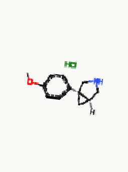 COc1ccc([C@]23CNC[C@H]2C3)cc1.Cl